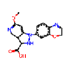 COC1=NCC2C(=C1)N(c1ccc3c(c1)OCC=N3)NC2C(=O)O